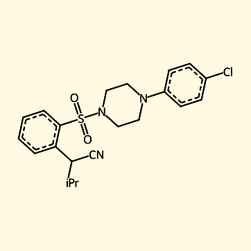 CC(C)C(C#N)c1ccccc1S(=O)(=O)N1CCN(c2ccc(Cl)cc2)CC1